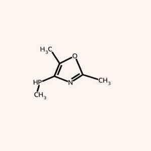 CPc1nc(C)oc1C